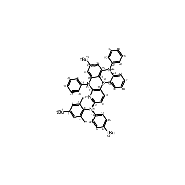 Cc1cc(C(C)(C)C)cc(C)c1N(c1ccc(C(C)(C)C)cc1)c1ccc2c(n1)N(c1ccccc1)c1cc(C(C)(C)C)cc3c1B2c1ccccc1N3c1ccccc1